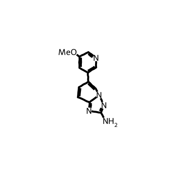 COc1cncc(-c2ccc3nc(N)nn3c2)c1